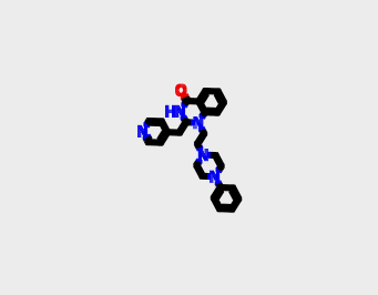 O=C1NC(Cc2ccncc2)N(CCN2CCN(c3ccccc3)CC2)c2ccccc21